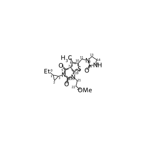 CCC1CC1n1c(=O)c2c(C)c(CN3CCNC3=O)sc2n(CCOC)c1=O